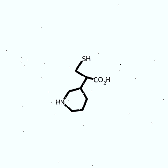 O=C(O)C(CS)C1CCCNC1